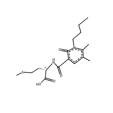 CCCCn1c(C)c(C)cc(C(=O)N[C@@H](CCSC)C(=O)O)c1=O